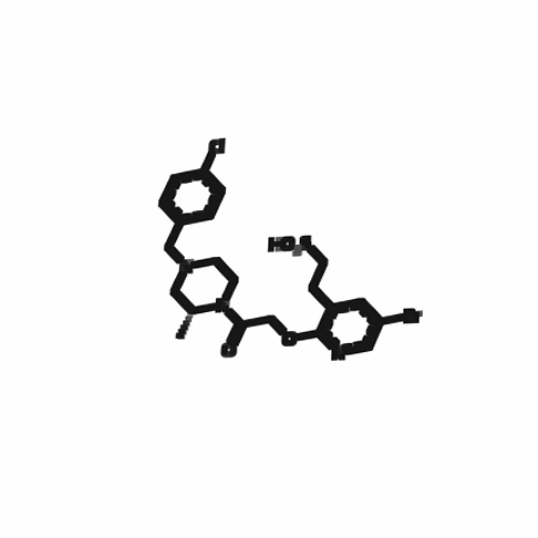 C[C@@H]1CN(Cc2ccc(Cl)cc2)CCN1C(=O)COc1ncc(Br)cc1CCS(=O)(=O)O